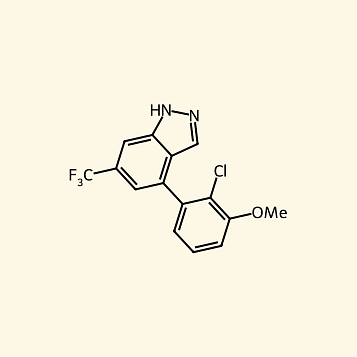 COc1cccc(-c2cc(C(F)(F)F)cc3[nH]ncc23)c1Cl